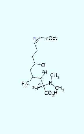 [2H]C(C(CC(Cl)CC/C=C\CCCCCCCC)C(F)(F)F)[C@@]([2H])(C(=O)O)N(C)C